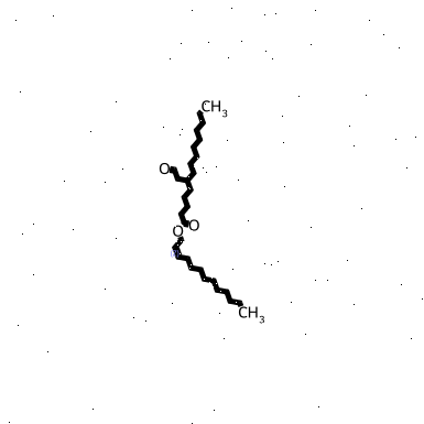 CCCCCCCCCC/C=C\COC(=O)CCCCC(CC=O)CCCCCCCCC